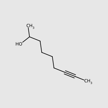 CC#CCCCCC(C)O